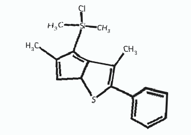 CC1=CC2SC(c3ccccc3)=C(C)C2=C1[Si](C)(C)Cl